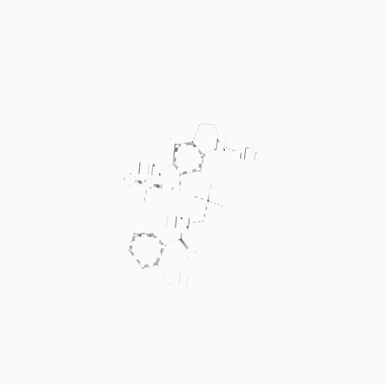 CCCN1CCc2c(C)c(NS(C)(=O)=O)c(C)c(CC(C)(C)CNC(=O)c3ccccc3O)c21